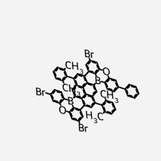 Cc1cccc(C)c1-c1cc2c3c(cc4c(-c5c(C)cccc5C)cc5c6c(cc1c3c46)B1c3ccc(-c4ccccc4)cc3Oc3cc(Br)cc-5c31)B1c3ccc(Br)cc3Oc3cc(Br)cc-2c31